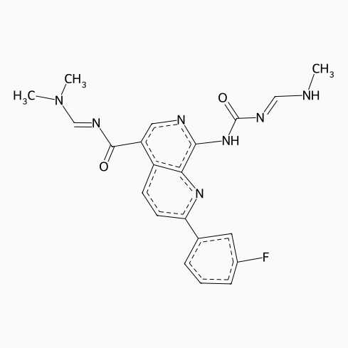 CN/C=N/C(=O)Nc1ncc(C(=O)/N=C/N(C)C)c2ccc(-c3cccc(F)c3)nc12